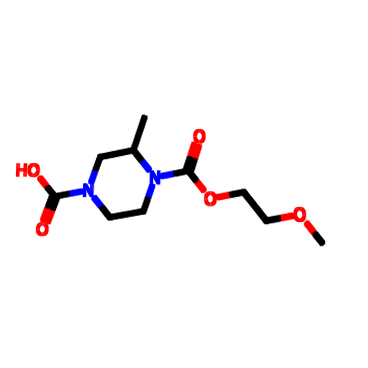 COCCOC(=O)N1CCN(C(=O)O)CC1C